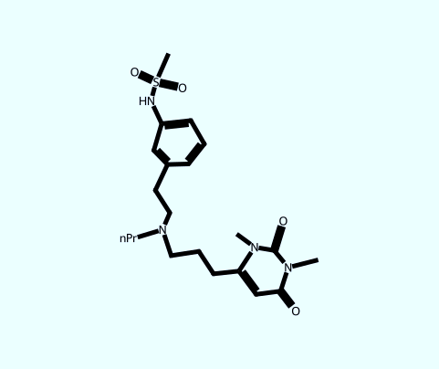 CCCN(CCCc1cc(=O)n(C)c(=O)n1C)CCc1cccc(NS(C)(=O)=O)c1